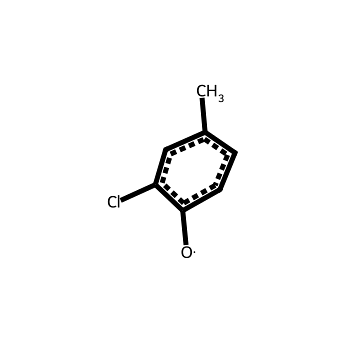 Cc1ccc([O])c(Cl)c1